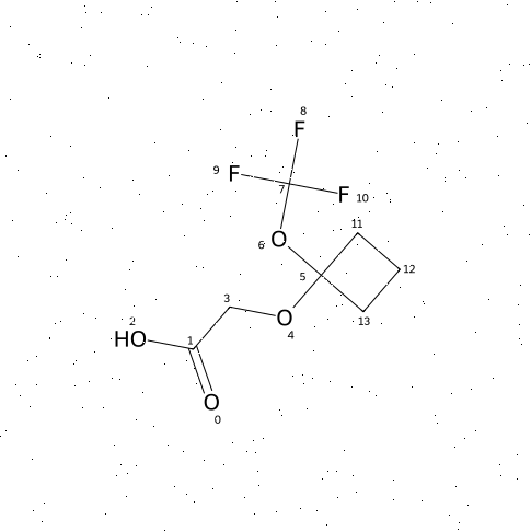 O=C(O)COC1(OC(F)(F)F)CCC1